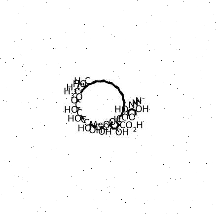 COC12CC(O)CC(O)C(O)CC[C@@H](O)CC(O)CC(=O)O[C@@H](C)[C@H](C)[C@H](O)[C@@H](C)/C=C/C=C/C=C/C=C/C=C/C=C/C=C/C(OC3OC[C@@H](O)C(N=[N+]=[N-])[C@H]3O)C[C@H](O1)C(C(=O)O)[C@@H](O)C2